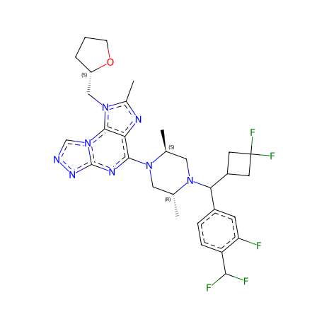 Cc1nc2c(N3C[C@@H](C)N(C(c4ccc(C(F)F)c(F)c4)C4CC(F)(F)C4)C[C@@H]3C)nc3nncn3c2n1C[C@@H]1CCCO1